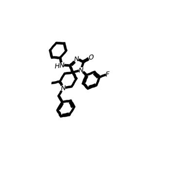 CC1CC2(CCN1Cc1ccccc1)C(NC1CCCCC1)=NC(=O)N2c1cccc(F)c1